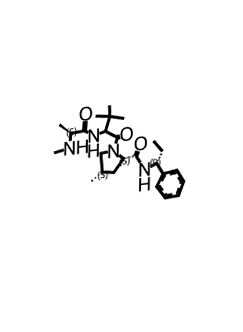 CC[C@@H](NC(=O)[C@@H]1C[C@H](C)CN1C(=O)C(NC(=O)[C@H](C)NC)C(C)(C)C)c1ccccc1